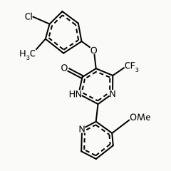 COc1cccnc1-c1nc(C(F)(F)F)c(Oc2ccc(Cl)c(C)c2)c(=O)[nH]1